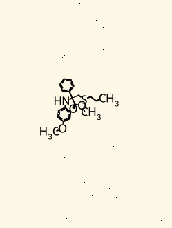 CCCSC[C@](Nc1ccc(OC)cc1)(C(=O)OC)c1ccccc1